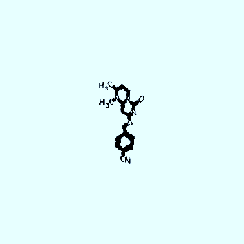 CC1CCn2c(cc(OCc3ccc(C#N)cc3)nc2=O)N1C